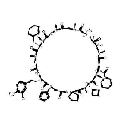 CC[C@H](C)[C@@H]1NC(=O)[C@H](C)N(C)C(=O)C[C@@H](C(=O)N2CCCCC2)N(C)C(=O)[C@H](C2CCC2)N(C)C(=O)C2(CCCC2)NC(=O)CN(c2ccsc2)C(=O)[C@H](CCc2ccc(C(F)(F)F)c(Cl)c2)NC(=O)CN(C)C(=O)[C@H](CC2CCCCC2)N(C)C(=O)CN(C)C(=O)CN(C)C1=O